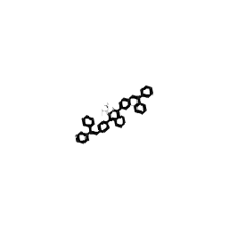 C(=C(c1ccccc1)c1ccccc1)c1ccc(-c2c3ccccc3c(-c3ccc(C=C(c4ccccc4)c4ccccc4)cc3)c3nsnc23)cc1